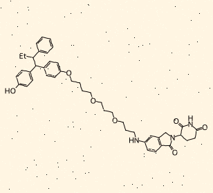 CCC(c1ccccc1)C(c1ccc(O)cc1)c1ccc(OCCCCOCCCOCCCNc2ccc3c(c2)CN(C2CCC(=O)NC2=O)C3=O)cc1